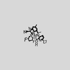 Cc1cc([C@@H](C)Nc2ccc(Cl)nc2C(=O)O)c2nc(N3C[C@H](F)C[C@H](F)C3)c(C#N)nc2c1